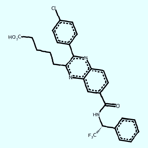 O=C(O)CCCCc1nc2cc(C(=O)N[C@H](c3ccccc3)C(F)(F)F)ccc2nc1-c1ccc(Cl)cc1